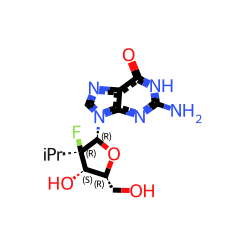 CC(C)[C@@]1(F)[C@@H](O)[C@@H](CO)O[C@H]1n1cnc2c(=O)[nH]c(N)nc21